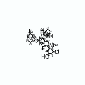 Oc1cc(Cl)c(C2CC2)c(-c2ccc3c(N4C[C@H]5CC[C@@H](C4)N5)nc(OC[C@@]45CCCN4C[C@H](F)C5)nc3c2F)c1